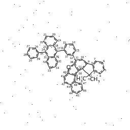 CC1(C)c2ccccc2-c2cc(-c3cccc(-c4c5ccccc5c(-c5ccccc5)c5ccccc45)c3)c3oc4ccc5ccccc5c4c3c21